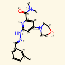 Cc1cccc(C=NNc2cc(N3CCOCC3)cc(C(=O)N(C)C)n2)c1